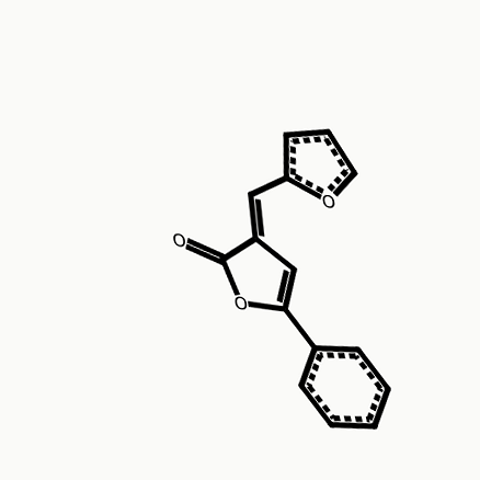 O=C1OC(c2ccccc2)=C/C1=C\c1ccco1